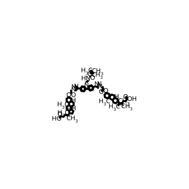 CC([C@H](C)CCC(=O)O)C1(C)CCC2C(C)C3(CCC[C@@H](OC(=O)Cn4cc(-c5ccc6c7ccc(-c8cn(CC(=O)O[C@@H]9CCC%10(C)C%11CCC%12(C)C([C@H](C)CCC(=O)O)CC[C@H]%12[C@@H]%11CC[C@@H]%10C9)nn8)cc7n(CCNC(=O)OC(C)(C)C)c6c5)nn4)C3)CC[C@H]2C1